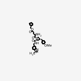 COc1ccc(C[C@@H]2C[C@@H](C(=O)NCc3ccc4c(c3)nnn4C)N(C(=O)[C@H](N)CCC(=O)OCc3ccccc3)C2)cc1